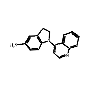 Nc1ccc2c(c1)CCN2c1ccnc2ccccc12